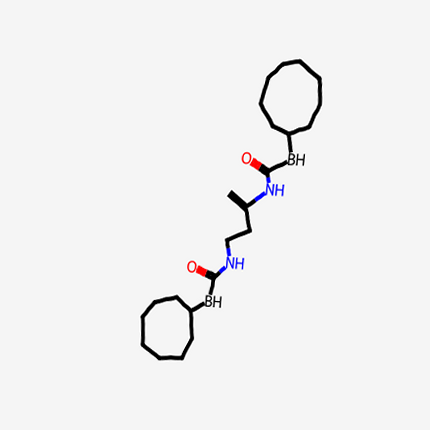 C=C(CCNC(=O)BC1CCCCCCC1)NC(=O)BC1CCCCCCCC1